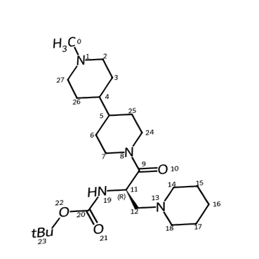 CN1CCC(C2CCN(C(=O)[C@@H](CN3CCCCC3)NC(=O)OC(C)(C)C)CC2)CC1